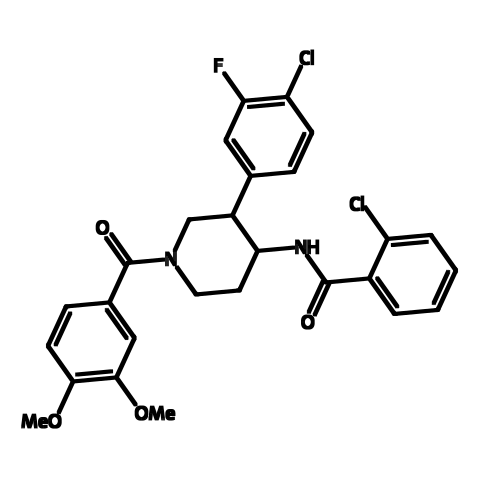 COc1ccc(C(=O)N2CCC(NC(=O)c3ccccc3Cl)C(c3ccc(Cl)c(F)c3)C2)cc1OC